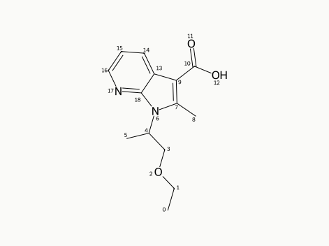 CCOCC(C)n1c(C)c(C(=O)O)c2cccnc21